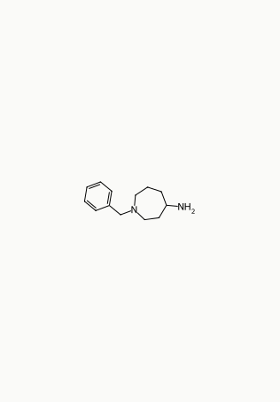 NC1CCCN(Cc2ccccc2)CC1